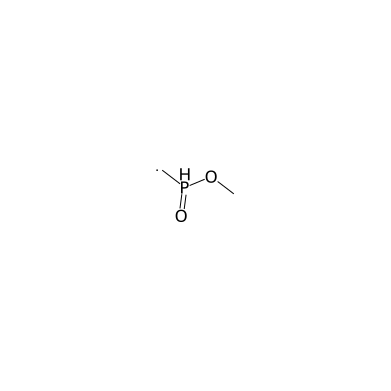 [CH2][PH](=O)OC